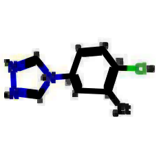 CCc1cc(-n2cnnc2)ccc1Cl